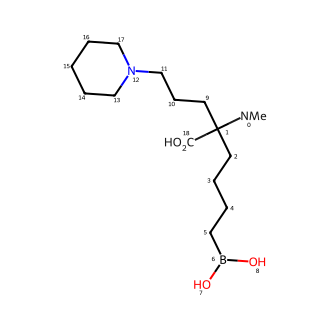 CNC(CCCCB(O)O)(CCCN1CCCCC1)C(=O)O